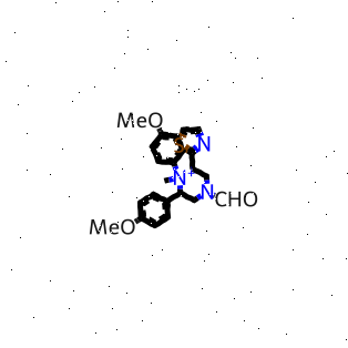 COc1ccc(C2CN(C=O)CC(c3nccs3)[N+]2(C)c2ccc(OC)cc2)cc1